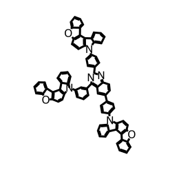 c1cc(-c2nc(-c3ccc(-n4c5ccccc5c5c6c(ccc54)oc4ccccc46)cc3)nc3ccc(-c4ccc(-n5c6ccccc6c6c7c(ccc65)oc5ccccc57)cc4)cc23)cc(-n2c3ccccc3c3c4c(ccc32)oc2ccccc24)c1